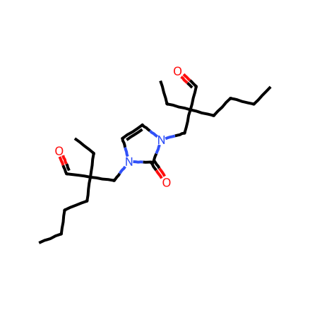 CCCCC(C=O)(CC)Cn1ccn(CC(C=O)(CC)CCCC)c1=O